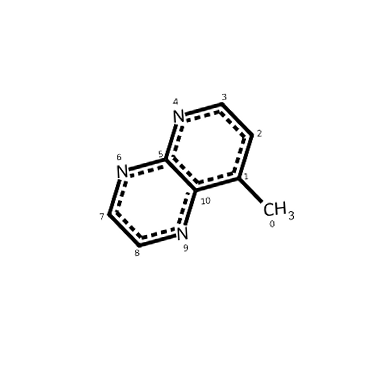 Cc1ccnc2nccnc12